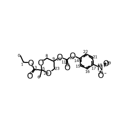 CCOC(=O)C1(C)OCC(OC(=O)Oc2ccc([N+](=O)[O-])cc2)CO1